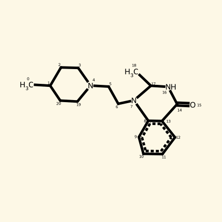 CC1CCN(CCN2c3ccccc3C(=O)NC2C)CC1